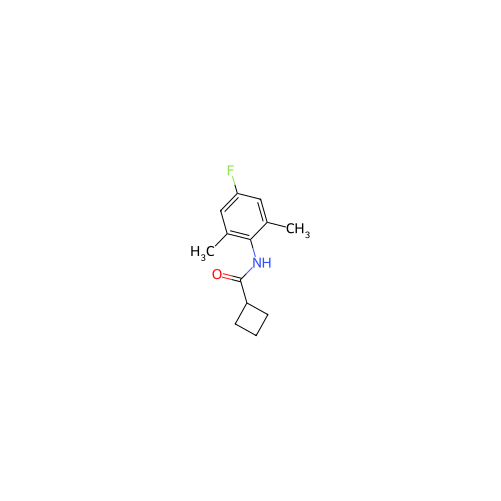 Cc1cc(F)cc(C)c1NC(=O)C1CCC1